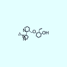 C=Cc1c(O)cccc1OCc1cccnc1-c1ccnn1C1CC1